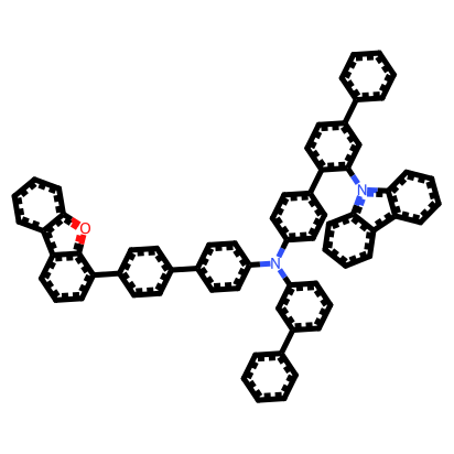 c1ccc(-c2cccc(N(c3ccc(-c4ccc(-c5cccc6c5oc5ccccc56)cc4)cc3)c3ccc(-c4ccc(-c5ccccc5)cc4-n4c5ccccc5c5ccccc54)cc3)c2)cc1